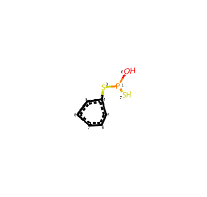 OP(S)Sc1ccccc1